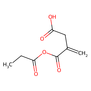 C=C(CC(=O)O)C(=O)OC(=O)CC